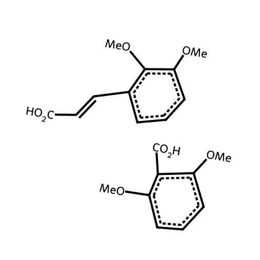 COc1cccc(/C=C/C(=O)O)c1OC.COc1cccc(OC)c1C(=O)O